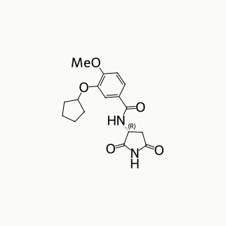 COc1ccc(C(=O)N[C@@H]2CC(=O)NC2=O)cc1OC1CCCC1